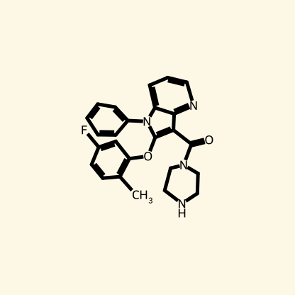 Cc1ccc(F)cc1Oc1c(C(=O)N2CCNCC2)c2ncccc2n1-c1ccccc1